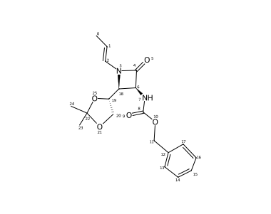 CC=CN1C(=O)[C@@H](NC(=O)OCc2ccccc2)[C@H]1[C@@H]1COC(C)(C)O1